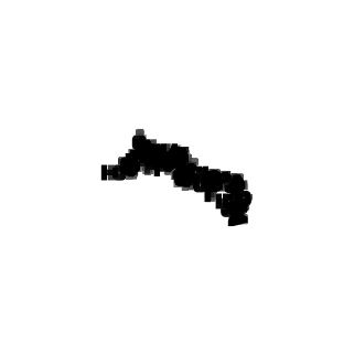 COc1nc(N[C@@H]2CCc3c(-c4cccc(-c5nc6cc(CN7CC[C@@H](C(=O)NS(=O)(=O)C8CC8)C7)cc(F)c6o5)c4C)cccc32)c(C(F)(F)F)nc1CN1CC[C@@H](O)C1